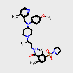 COc1ccc(N(Cc2cnccc2C)C2CCN([C@H](C)CCNC(=O)c3c(C)ccc(S(=O)(=O)N4CCCC4)c3C)CC2)cc1